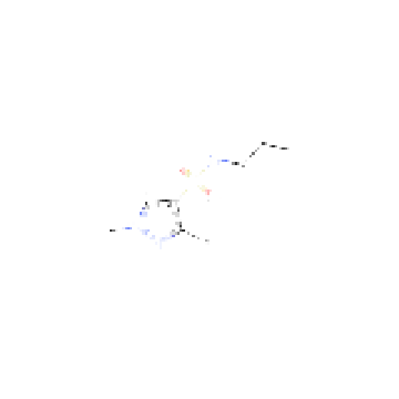 [CH2]CCNS(=O)(=O)c1cn(C)nc1C